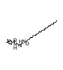 CCC=CCC=CCC=CCC=CCC=CCC=CCCC(=O)NCCN(C)CCNC(=O)c1ccc(C)nc1